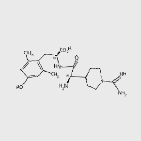 Cc1cc(O)cc(C)c1C[C@H](NC(=O)[C@H](N)C1CCN(C(=N)N)CC1)C(=O)O